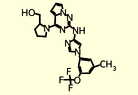 Cc1cc(OC(F)(F)F)cc(-n2cnc(Nc3nc(N4CCCC4CO)c4cccn4n3)c2)c1